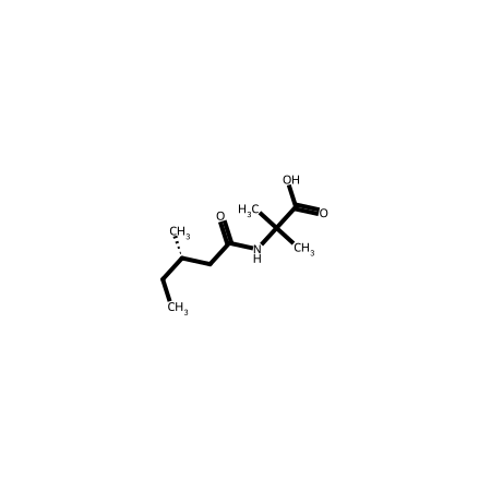 CC[C@H](C)CC(=O)NC(C)(C)C(=O)O